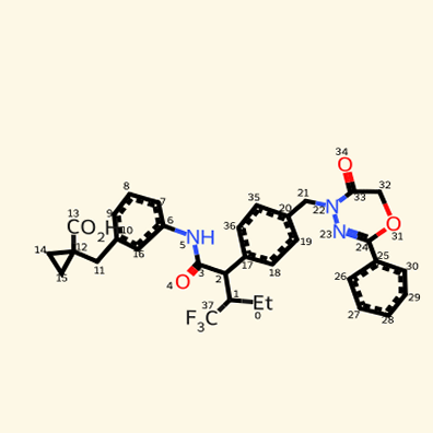 CCC(C(C(=O)Nc1cccc(CC2(C(=O)O)CC2)c1)c1ccc(CN2N=C(c3ccccc3)OCC2=O)cc1)C(F)(F)F